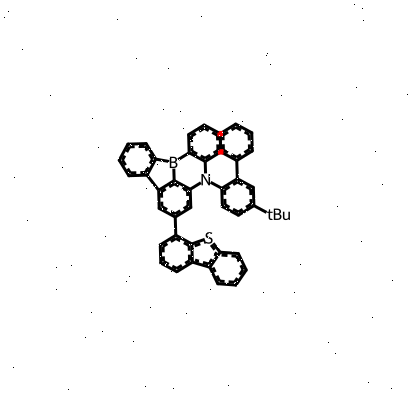 CC(C)(C)c1ccc(N2c3ccccc3B3c4ccccc4-c4cc(-c5cccc6c5sc5ccccc56)cc2c43)c(-c2ccccc2)c1